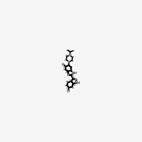 CC(C)N1CCN(c2cc3[nH]c(-c4n[nH]c5cc(Cl)ccc45)nc3cc2F)CC1